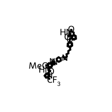 COc1cc2nn([C@H]3CC[C@H](CN(C)CCCCCc4ccc(Oc5cccc6c5C(=O)NC(=O)C6)cc4)CC3)cc2cc1NC(=O)c1cccc(C(F)(F)F)n1